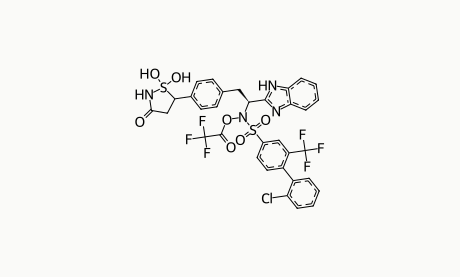 O=C1CC(c2ccc(C[C@@H](c3nc4ccccc4[nH]3)N(OC(=O)C(F)(F)F)S(=O)(=O)c3ccc(-c4ccccc4Cl)c(C(F)(F)F)c3)cc2)S(O)(O)N1